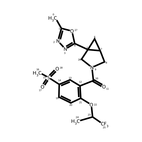 Cc1nnc(C23CC2CN(C(=O)c2cc(S(C)(=O)=O)ccc2OC(C)C(F)(F)F)C3)o1